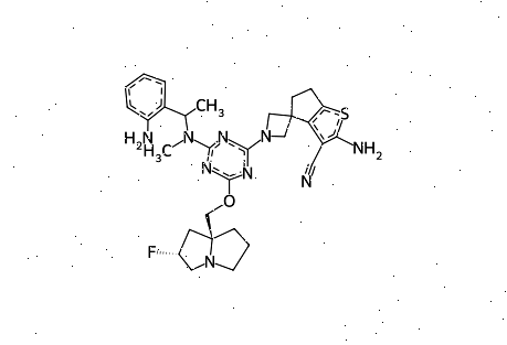 CC(c1ccccc1N)N(C)c1nc(OC[C@@]23CCCN2C[C@H](F)C3)nc(N2CC3(CCc4sc(N)c(C#N)c43)C2)n1